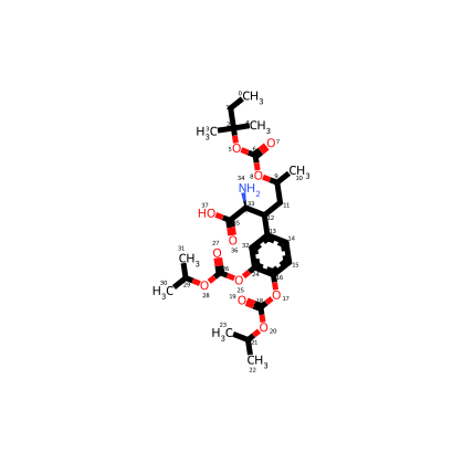 CCC(C)(C)OC(=O)OC(C)CC(c1ccc(OC(=O)OC(C)C)c(OC(=O)OC(C)C)c1)[C@H](N)C(=O)O